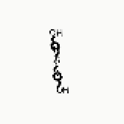 OCCC1CCN(CCSSCCN2CCC(CCO)CC2)CC1